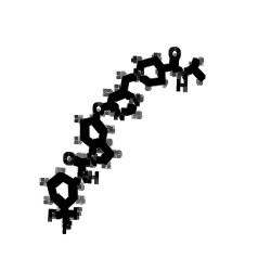 CC(C)NC(=O)C1CCN(Cc2cc(Oc3ccc4c(ccn4C(=O)Nc4cccc(C(F)(F)F)c4)c3)ncn2)CC1